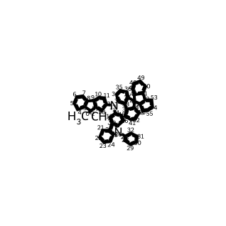 CC1(C)c2ccccc2-c2ccc(N(c3ccc4c(c3)c3ccccc3n4-c3ccccc3)c3cccc4c3-c3ccccc3C43c4ccccc4-c4ccccc43)cc21